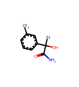 CCC(O)(C(N)=O)c1cccc(C(F)(F)F)c1